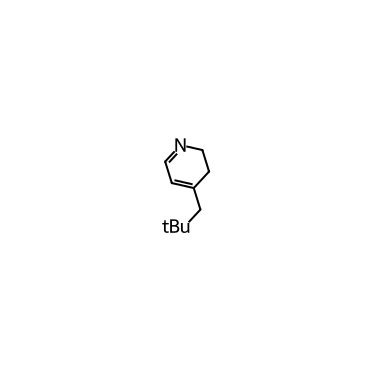 CC(C)(C)CC1=CC=NCC1